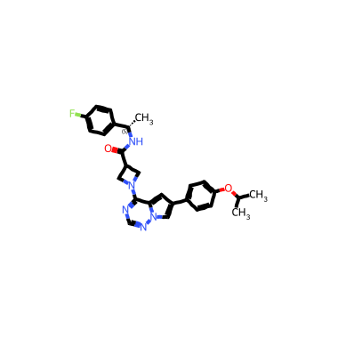 CC(C)Oc1ccc(-c2cc3c(N4CC(C(=O)N[C@@H](C)c5ccc(F)cc5)C4)ncnn3c2)cc1